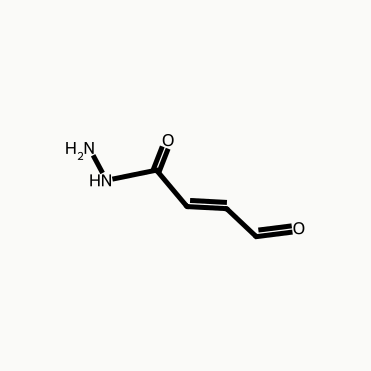 NNC(=O)C=CC=O